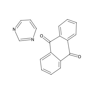 O=C1c2ccccc2C(=O)c2ccccc21.c1cncnc1